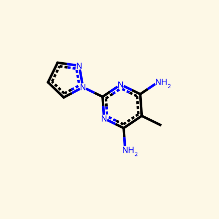 Cc1c(N)nc(-n2cccn2)nc1N